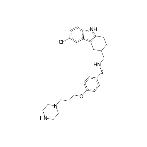 Clc1ccc2[nH]c3c(c2c1)CC(CNSc1ccc(OCCCN2CCNCC2)cc1)CC3